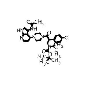 CC(=O)Nc1c[nH]c2nccc(N3CCN(C(=O)C(CN(C(=O)OC(C)(C)C)C(C)C)c4ccc(Cl)cc4)CC3)c12